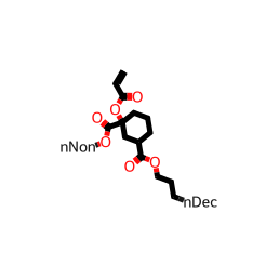 C=CC(=O)OC1(C(=O)OCCCCCCCCC)CCCC(C(=O)OCCCCCCCCCCCCC)C1